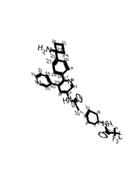 CC(C)(C(=O)N[C@H]1CC[C@H](CC(=O)Nc2cnc(-c3ccc(C4(N)CCC4)cc3)c(-c3cccnc3)c2)CC1)C(F)(F)F